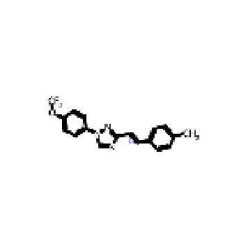 Cc1ccc(/C=C/c2ncn(-c3ccc(OC(F)(F)F)cc3)n2)cc1